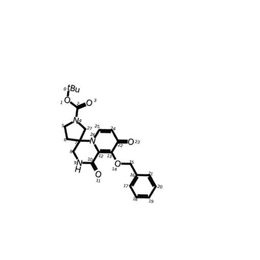 CC(C)(C)OC(=O)N1CCC2(CNC(=O)c3c(OCc4ccccc4)c(=O)ccn32)C1